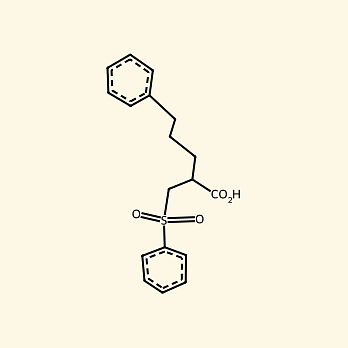 O=C(O)C(CCCc1ccccc1)CS(=O)(=O)c1ccccc1